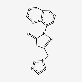 O=C1CC(Cn2ccnc2)=NN1c1cccc2ccccc12